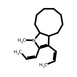 C/C=C\C1=C(/C=C\C)N(C)C2CCCCCCCC12